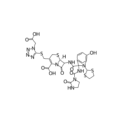 O=C(O)Cn1nnnc1SCC1=C(C(=O)O)N2C(=O)C(NC(=O)C3(NC(=O)N4CCNC4=O)c4ccc(O)c(c4)N3C3SCCS3)[C@@H]2SC1